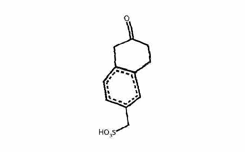 O=C1CCc2cc(CS(=O)(=O)O)ccc2C1